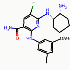 COc1cc(C)cc(Nc2nc(N[C@H]3CCCC[C@H]3N)c(F)cc2C(N)=O)c1